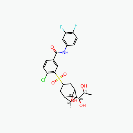 C[C@H](O)[C@@H](O)[C@@]1(O)C2CC(S(=O)(=O)c3cc(C(=O)Nc4ccc(F)c(F)c4)ccc3Cl)CC1[C@@H](C)C2